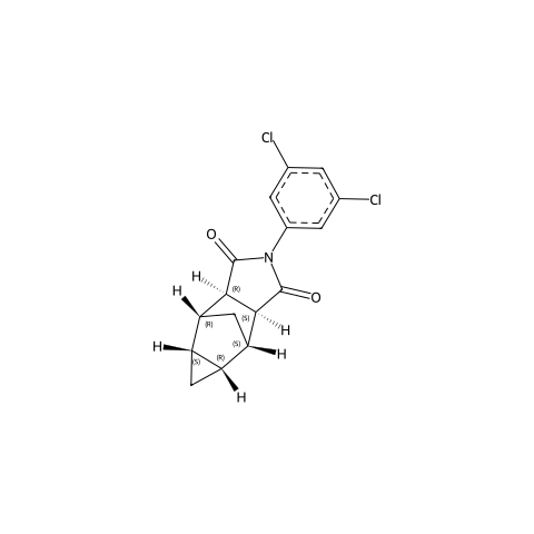 O=C1[C@@H]2[C@@H]3C[C@@H]([C@@H]4C[C@@H]43)[C@@H]2C(=O)N1c1cc(Cl)cc(Cl)c1